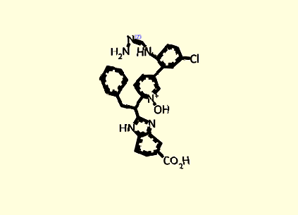 N/N=C\Nc1ccc(Cl)cc1-c1ccc(C(Cc2ccccc2)c2nc3cc(C(=O)O)ccc3[nH]2)[n+](O)c1